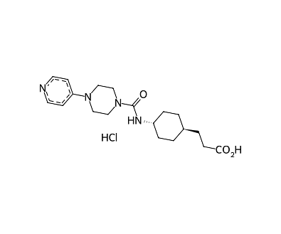 Cl.O=C(O)CC[C@H]1CC[C@H](NC(=O)N2CCN(c3ccncc3)CC2)CC1